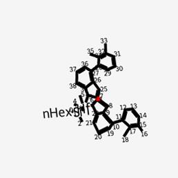 CCCCCC[Si](C)=[Hf]([CH3])([CH3])([CH]1C=Cc2c(-c3cccc(C)c3C)cccc21)[CH]1C=Cc2c(-c3cccc(C)c3C)cccc21